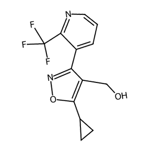 OCc1c(-c2cccnc2C(F)(F)F)noc1C1CC1